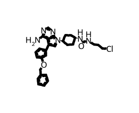 Nc1ncnc2c1c(-c1cccc(OCc3ccccc3)c1)cn2[C@H]1CC[C@@H](NC(=O)NCCCCl)CC1